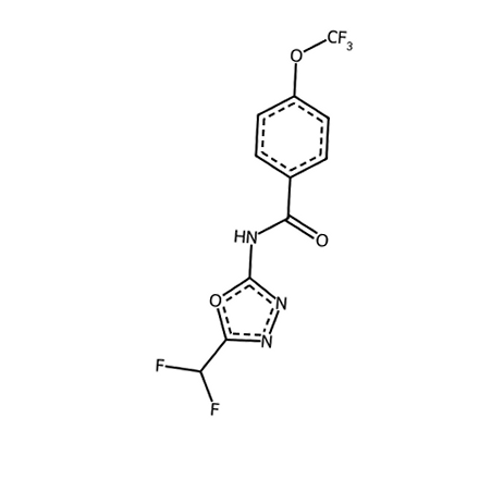 O=C(Nc1nnc(C(F)F)o1)c1ccc(OC(F)(F)F)cc1